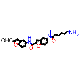 NCCCCCC(=O)Nc1ccc2oc(C(=O)Nc3ccc4oc(C=O)cc4c3)cc2c1